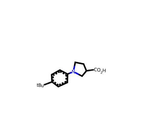 CC(C)(C)c1ccc(N2CCC(C(=O)O)C2)cc1